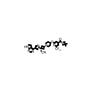 CC1(C)CN(C(=O)c2cc(OC3CCN([C@H]4C[C@@](CC#N)(n5cc(-c6ncnc7[nH]ccc67)cn5)C4)CC3)nc(C(F)(F)F)c2)C1